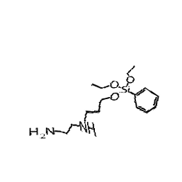 CCO[Si](OCC)(OCCCNCCN)c1ccccc1